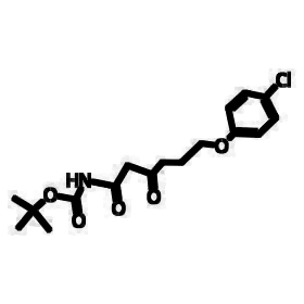 CC(C)(C)OC(=O)NC(=O)CC(=O)CCCOc1ccc(Cl)cc1